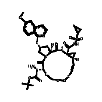 COc1ccc2c(O[C@@H]3C[C@H]4C(=O)N[C@]5(C(=O)NS(=O)(=O)C6CC6)C[C@H]5/C=C\COCCC[C@H](N(N)C(=O)OC(C)(C)C)C(=O)N4C3)nccc2c1